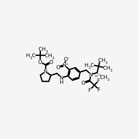 C[C@H](N(Cc1ccc(NCC2CCCN2C(=O)OC(C)(C)C)c([N+](=O)[O-])c1)C(=O)C(F)(F)F)C(C)(C)C